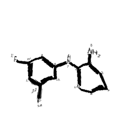 Nc1cccnc1Nc1cc(F)cc(F)c1